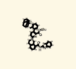 Cc1c(OC23CC4CC(CC(C4)C2)C3)cccc1-c1ccc(N2CCc3cccc(C(=O)Nc4nc5ccccc5s4)c3C2)nc1C(=O)OC(C)(C)C